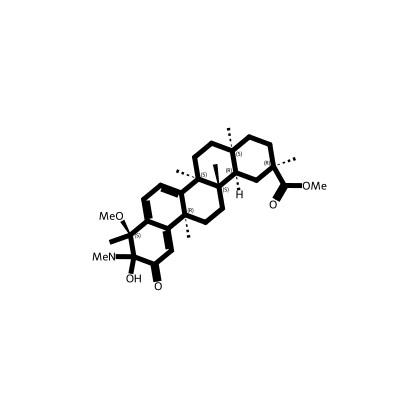 CNC1(O)C(=O)C=C2C(=CC=C3[C@@]2(C)CC[C@@]2(C)[C@@H]4C[C@](C)(C(=O)OC)CC[C@]4(C)CC[C@]32C)[C@]1(C)OC